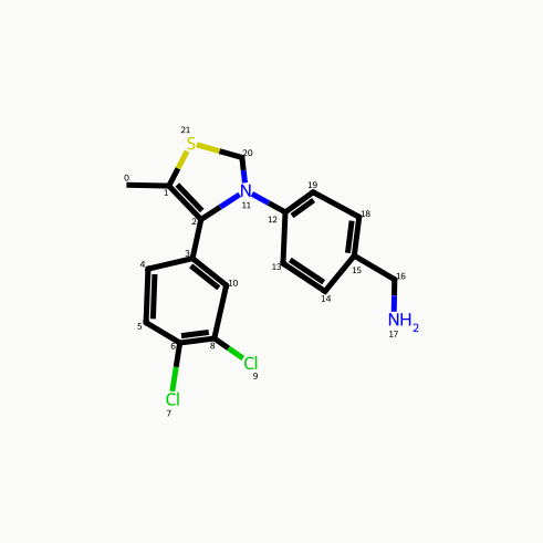 CC1=C(c2ccc(Cl)c(Cl)c2)N(c2ccc(CN)cc2)CS1